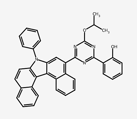 CC(C)Oc1nc(-c2ccccc2O)nc(-c2cc3c(c4ccccc24)c2c4ccccc4ccc2n3-c2ccccc2)n1